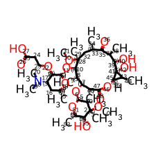 CO[C@]1(C)C[C@H](O[C@H]2[C@H](C)[C@@H](O[C@@H]3O[C@H](C)C[C@H](N(C)C)[C@H]3OCCC(=O)O)[C@@](C)(OC)C[C@@H](C)C(=O)C(C)[C@@H](O)[C@@]3(O)C(C)[C@H]3OC(=O)[C@@H]2C)O[C@@H](C)[C@@H]1O